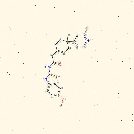 COc1ccc2nc(NC(=O)CC3=CCC(C)(c4ccnc(C)c4)C=C3)sc2c1